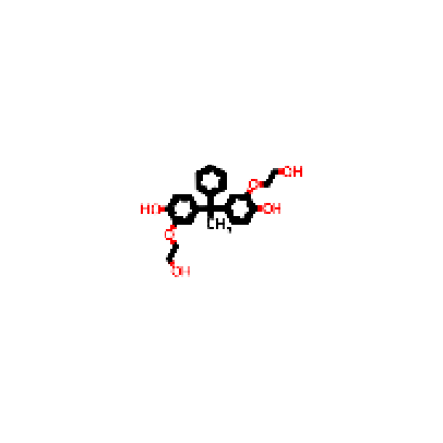 CC(c1ccccc1)(c1ccc(O)c(OCCO)c1)c1ccc(O)c(OCCO)c1